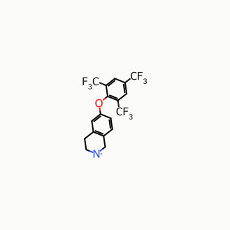 FC(F)(F)c1cc(C(F)(F)F)c(Oc2ccc3c(c2)CC[N]C3)c(C(F)(F)F)c1